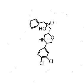 O=P(O)(Cc1ccccc1)C[C@H]1CN[C@H](c2ccc(Cl)c(Cl)c2)CO1